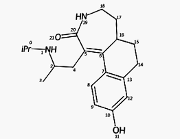 CC(C)NC(C)CC1=C2c3ccc(O)cc3CCC2CCNC1=O